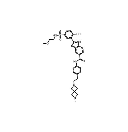 COCCNS(=O)(=O)c1ccc(O)c(-c2nc3cc(C(=O)Nc4ccc(CCN5CC6(CN(C)C6)C5)cc4)ccc3[nH]2)c1